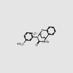 C[C@]12C[C@H](NC(=O)N1c1cccc(C(=O)O)c1)c1ccccc1O2